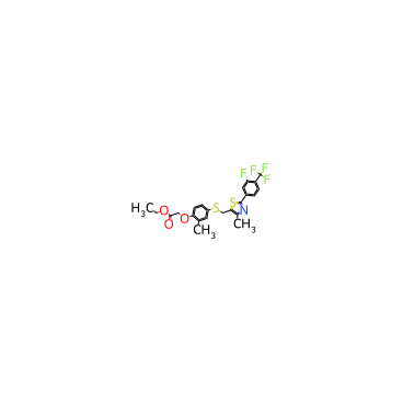 CCOC(=O)COc1ccc(SCc2sc(-c3ccc(C(F)(F)F)c(F)c3)nc2C)cc1C